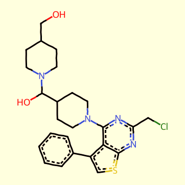 OCC1CCN(C(O)C2CCN(c3nc(CCl)nc4scc(-c5ccccc5)c34)CC2)CC1